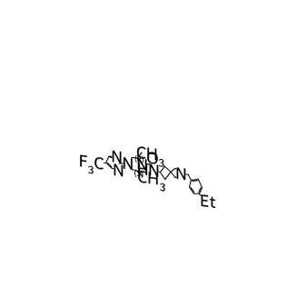 CCc1ccc(CN2CC3(CC(NC(=O)N4[C@H](C)CN(c5ncc(C(F)(F)F)cn5)C[C@@H]4C)C3)C2)cc1